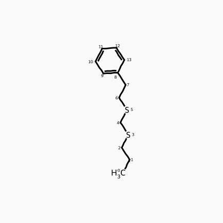 C[CH]CSCSCCc1ccccc1